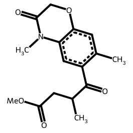 COC(=O)CC(C)C(=O)c1cc2c(cc1C)OCC(=O)N2C